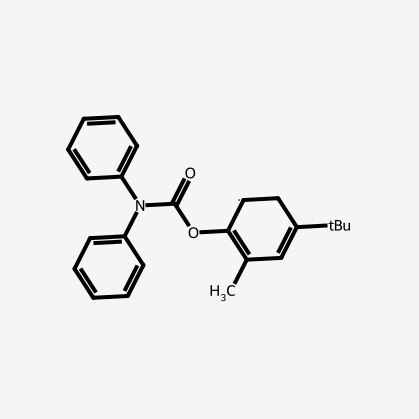 CC1=C(OC(=O)N(c2ccccc2)c2ccccc2)[CH]CC(C(C)(C)C)=C1